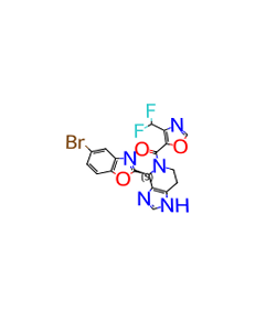 O=C(c1ocnc1C(F)F)N1CCc2[nH]cnc2[C@H]1c1nc2cc(Br)ccc2o1